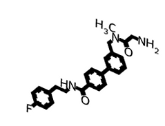 CN(Cc1cccc(-c2ccc(C(=O)NCCc3ccc(F)cc3)cc2)c1)C(=O)CN